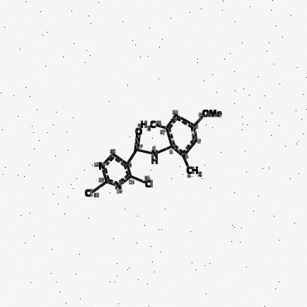 COc1cc(C)c(NC(=O)c2cnc(Cl)nc2Cl)c(C)c1